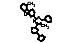 C=N/C(=N\C(=N/Cc1ccccc1)c1ccc2c(c1)oc1cccc(C)c12)c1cccc(-c2ccccc2)c1